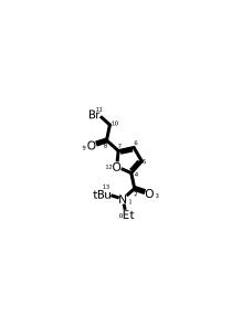 CCN(C(=O)c1ccc(C(=O)CBr)o1)C(C)(C)C